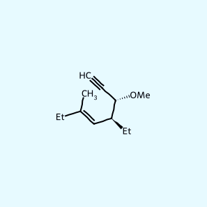 C#C[C@H](OC)[C@H](/C=C(\C)CC)CC